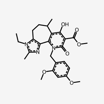 CCn1c(C)nc2c1CCC(C)c1c(O)c(C(=O)OC)c(=O)n(Cc3ccc(OC)cc3OC)c1-2